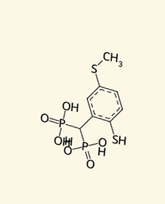 CSc1ccc(S)c(C(P(=O)(O)O)P(=O)(O)O)c1